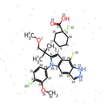 COCC(C)(C)c1c([C@H]2CC[C@](F)(C(=O)O)CC2)c2c(F)c3[nH]ncc3cc2n1-c1ccc(F)c(OC)c1